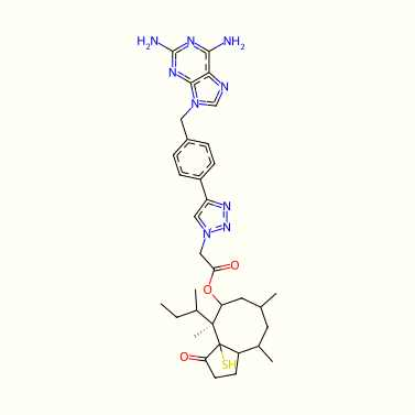 CCC(C)[C@@]1(C)C(OC(=O)Cn2cc(-c3ccc(Cn4cnc5c(N)nc(N)nc54)cc3)nn2)CC(C)CC(C)C2CCC(=O)C21S